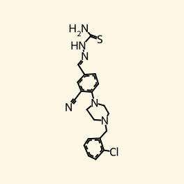 N#Cc1cc(/C=N/NC(N)=S)ccc1N1CCN(Cc2ccccc2Cl)CC1